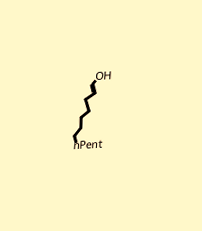 CCCCCCCCCCC=CO